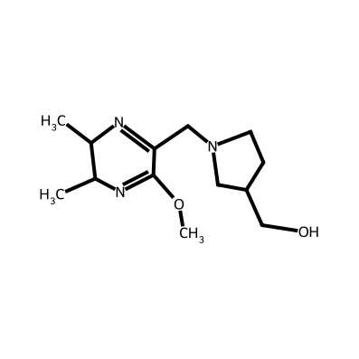 COC1=NC(C)C(C)N=C1CN1CCC(CO)C1